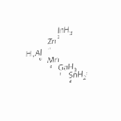 [AlH3].[GaH3].[InH3].[Mn].[SnH2].[Zn]